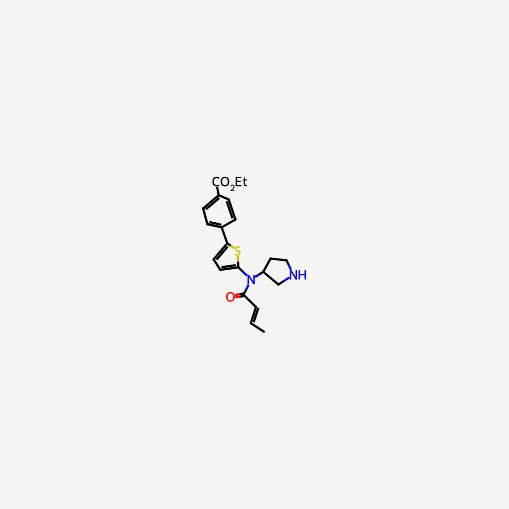 CC=CC(=O)N(c1ccc(-c2ccc(C(=O)OCC)cc2)s1)C1CCNC1